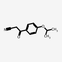 CC(C)Oc1ccc(C(=O)CC#N)cc1